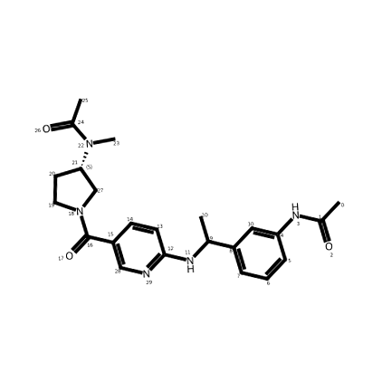 CC(=O)Nc1cccc(C(C)Nc2ccc(C(=O)N3CC[C@H](N(C)C(C)=O)C3)cn2)c1